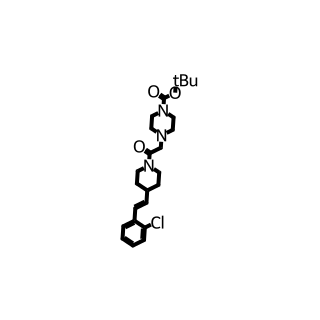 CC(C)(C)OC(=O)N1CCN(CC(=O)N2CCC(/C=C/c3ccccc3Cl)CC2)CC1